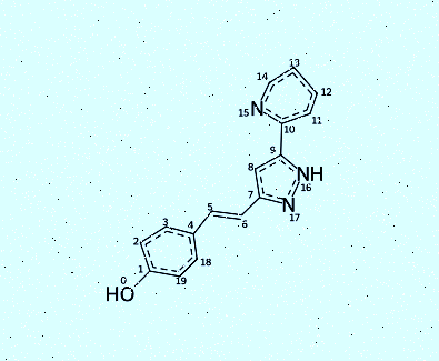 Oc1ccc(C=Cc2cc(-c3ccccn3)[nH]n2)cc1